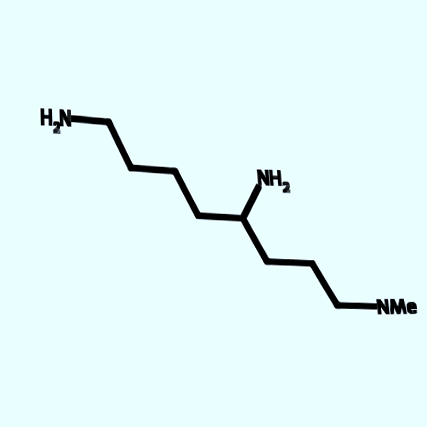 CNCCCC(N)CCCCN